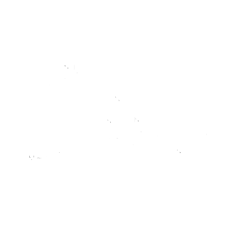 CCCn1c(NC(=O)c2oc(C)nc2C)nc2cc(C(N)=O)cc(OCC(=O)OC)c21